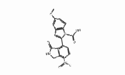 COc1ccc2c(c1)cc(-c1ccc([N+](=O)[O-])c3c1C(=O)NC3)n2C(=O)O